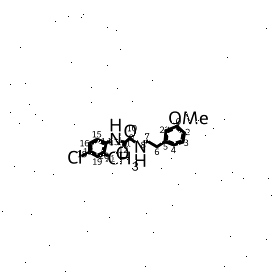 COc1cccc(CCNC(=O)C(=O)Nc2ccc(Cl)cc2C)c1